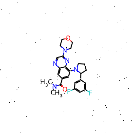 CN(C)C(=O)c1cc(N2CCCC2c2cc(F)cc(F)c2)c2nc(N3CCOCC3)cnc2c1